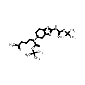 CC(=O)CCCN(C(=O)OC(C)(C)C)[C@H]1CCc2nc(NC(=O)OC(C)(C)C)sc2C1